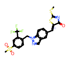 CSC1=NC(=O)/C(=C/c2ccc3c(cnn3Cc3ccc(S(C)(=O)=O)cc3C(F)(F)F)c2)S1